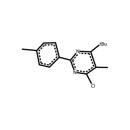 Cc1ccc(-c2nc(Cl)c(C)c(C(C)(C)C)n2)cc1